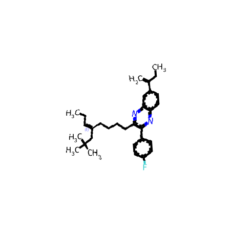 C=C(CC)c1ccc2nc(-c3ccc(F)cc3)c(CCCC/C(=C\CC)CC(C)(C)C)nc2c1